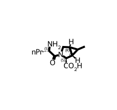 CCC[C@H](N)C(=O)N1C[C@@H]2C(C)[C@@H]2[C@H]1C(=O)O